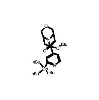 CCC[CH2][Sn]([CH2]CCC)([CH2]CCC)[c]1cc(C2=CC3COCC(C2)N3C(=O)OC(C)(C)C)ccn1